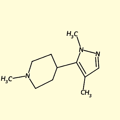 Cc1cnn(C)c1C1CCN(C)CC1